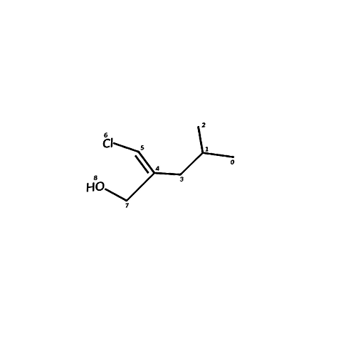 CC(C)CC(=CCl)CO